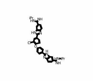 CC(C)NC(=N)c1ccc2nc(-c3ccc(Oc4ccc(-c5nc6ccc(C(=N)NC(C)C)cc6[nH]5)cc4Cl)cc3)[nH]c2c1